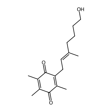 CC1=C(C)C(=O)C(C/C=C(\C)CCCCO)=C(C)C1=O